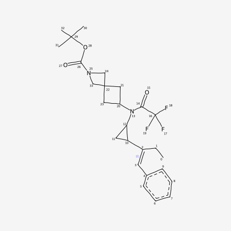 CC/C(=C\c1ccccc1)C1CC1N(C(=O)C(F)(F)F)C1CC2(C1)CN(C(=O)OC(C)(C)C)C2